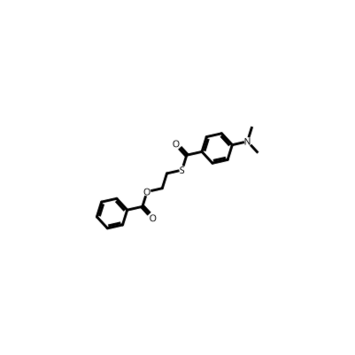 CN(C)c1ccc(C(=O)SCCOC(=O)c2ccccc2)cc1